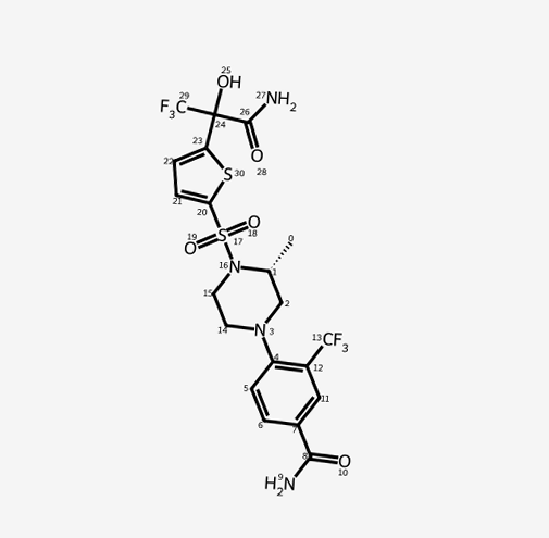 C[C@@H]1CN(c2ccc(C(N)=O)cc2C(F)(F)F)CCN1S(=O)(=O)c1ccc(C(O)(C(N)=O)C(F)(F)F)s1